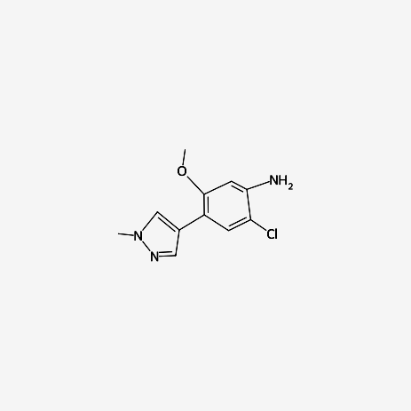 COc1cc(N)c(Cl)cc1-c1cnn(C)c1